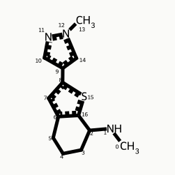 CNC1CCCc2cc(-c3cnn(C)c3)sc21